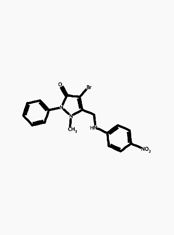 Cn1c(CNc2ccc([N+](=O)[O-])cc2)c(Br)c(=O)n1-c1ccccc1